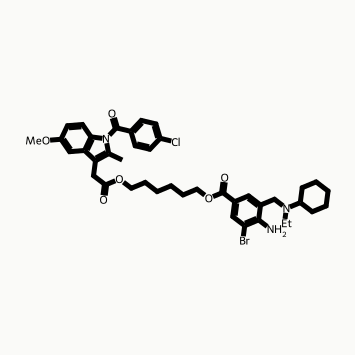 CCN(Cc1cc(C(=O)OCCCCCCOC(=O)Cc2c(C)n(C(=O)c3ccc(Cl)cc3)c3ccc(OC)cc23)cc(Br)c1N)C1CCCCC1